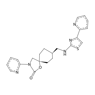 O=C1O[C@]2(CC[C@H](CNc3nc(-c4ccccn4)cs3)CC2)CN1c1ccccn1